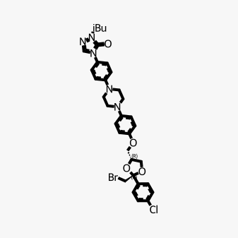 CCC(C)n1ncn(-c2ccc(N3CCN(c4ccc(OC[C@@H]5CO[C@](CBr)(c6ccc(Cl)cc6)O5)cc4)CC3)cc2)c1=O